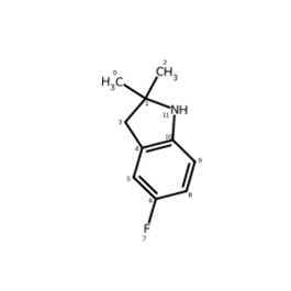 CC1(C)Cc2cc(F)ccc2N1